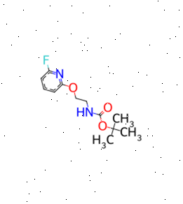 CC(C)(C)OC(=O)NCCOc1cccc(F)n1